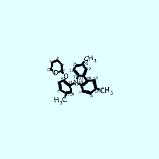 Cc1ccc(OC2CCCCO2)c(-n2c3ccc(C)cc3c3cc(C)ccc32)c1